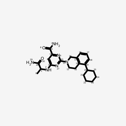 CC(Nc1cc(C(N)=O)nc(N2CCc3c(cccc3C3CCCCC3)C2)n1)C(N)=O